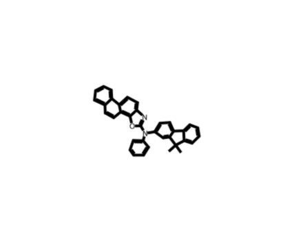 CC1(C)c2ccccc2-c2ccc(N(c3ccccc3)c3nc4ccc5c6ccccc6ccc5c4o3)cc21